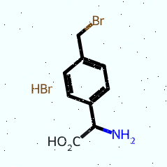 Br.NC(C(=O)O)c1ccc(CBr)cc1